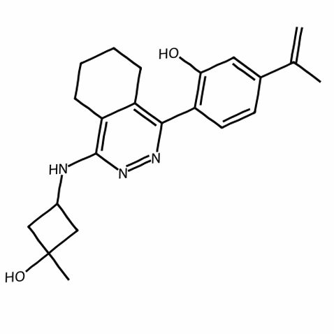 C=C(C)c1ccc(-c2nnc(NC3CC(C)(O)C3)c3c2CCCC3)c(O)c1